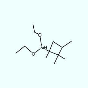 CCO[SiH](OCC)C1(C)CC(C)C1(C)C